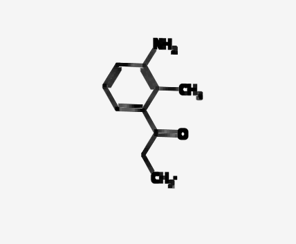 [CH2]CC(=O)c1cccc(N)c1C